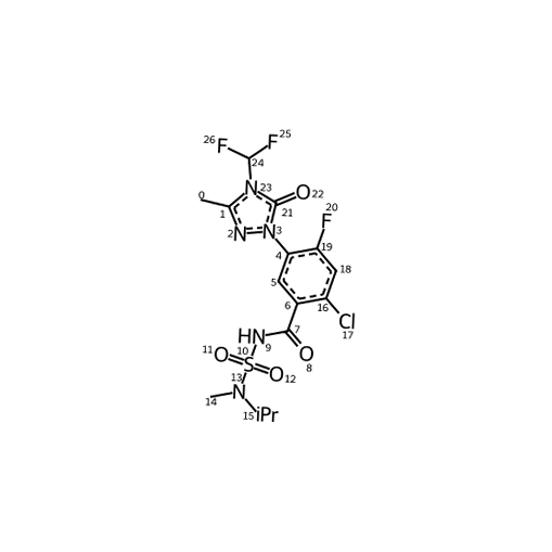 Cc1nn(-c2cc(C(=O)NS(=O)(=O)N(C)C(C)C)c(Cl)cc2F)c(=O)n1C(F)F